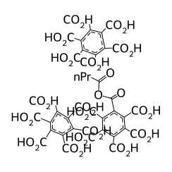 CCCC(=O)OC(=O)c1c(C(=O)O)c(C(=O)O)c(C(=O)O)c(C(=O)O)c1C(=O)O.O=C(O)c1c(C(=O)O)c(C(=O)O)c(C(=O)O)c(C(=O)O)c1C(=O)O.O=C(O)c1c(C(=O)O)c(C(=O)O)c(C(=O)O)c(C(=O)O)c1C(=O)O